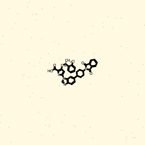 C[C@@H](Oc1cc(-n2cnc3ccc(C4CCC(N5C(=O)c6ccccc6C5=O)CC4)cc32)sc1C(=O)O)c1ccccc1Cl